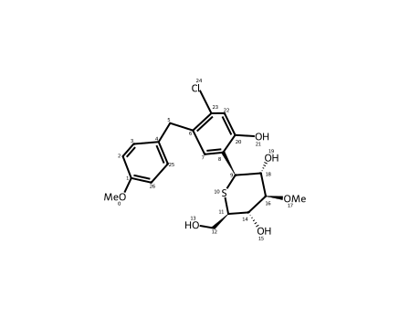 COc1ccc(Cc2cc([C@@H]3S[C@H](CO)[C@@H](O)[C@H](OC)[C@H]3O)c(O)cc2Cl)cc1